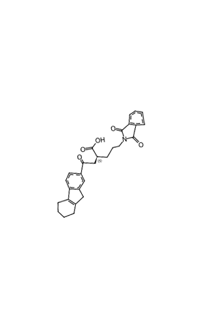 O=C(C[C@H](CCCN1C(=O)c2ccccc2C1=O)C(=O)O)c1ccc2c(c1)CC1=C2CCCC1